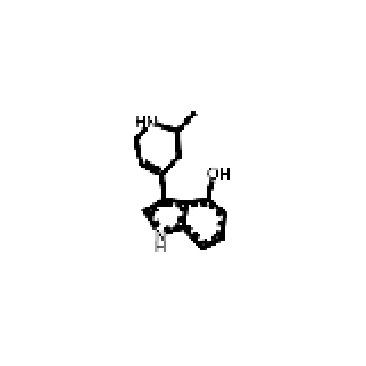 CC1CC(c2c[nH]c3cccc(O)c23)=CCN1